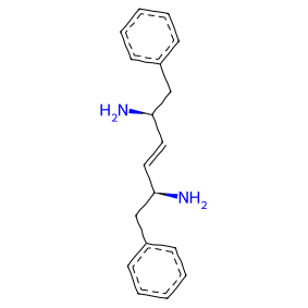 N[C@H](C=C[C@@H](N)Cc1ccccc1)Cc1ccccc1